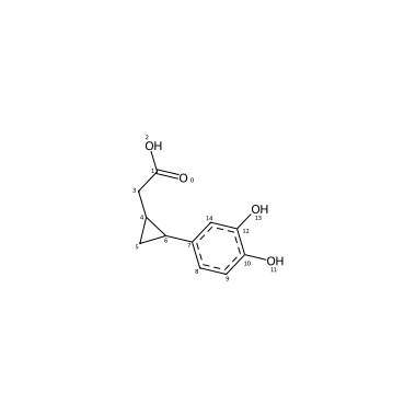 O=C(O)CC1CC1c1ccc(O)c(O)c1